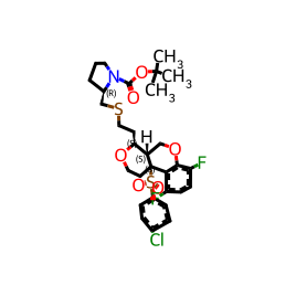 CC(C)(C)OC(=O)N1CCC[C@@H]1CSCC[C@@H]1OCC[C@@]2(S(=O)(=O)c3ccc(Cl)cc3)c3c(F)ccc(F)c3OC[C@@H]12